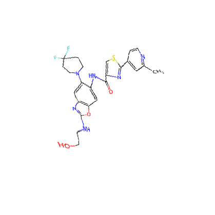 Cc1cc(-c2nc(C(=O)Nc3cc4oc(NCCO)nc4cc3N3CCC(F)(F)CC3)cs2)ccn1